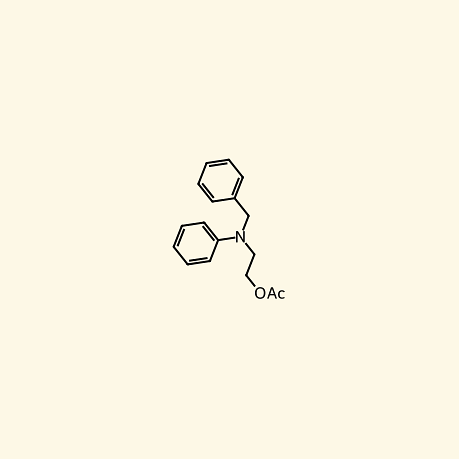 CC(=O)OCCN(Cc1ccccc1)c1ccccc1